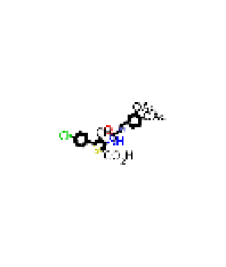 CC(=O)Oc1ccc(/C=C/C(=O)Nc2c(C(=O)O)sc(-c3ccc(Cl)cc3)c2C)cc1OC(C)=O